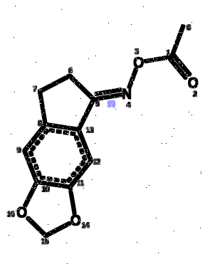 CC(=O)O/N=C1\CCc2cc3c(cc21)OCO3